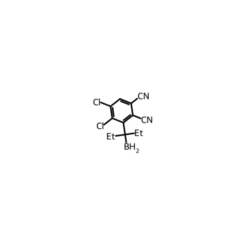 BC(CC)(CC)c1c(Cl)c(Cl)cc(C#N)c1C#N